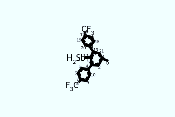 Cc1cc(-c2ccc(C(F)(F)F)cc2)[c]([SbH2])c(-c2ccc(C(F)(F)F)cc2)c1